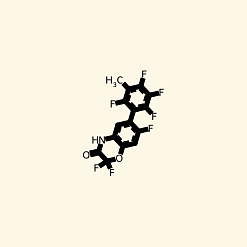 Cc1c(F)c(F)c(F)c(-c2cc3c(cc2F)OC(F)(F)C(=O)N3)c1F